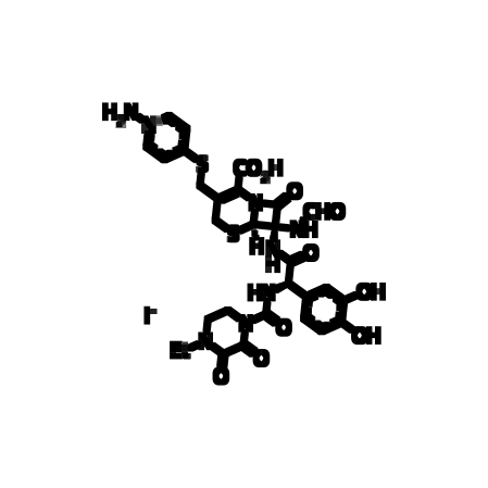 CCN1CCN(C(=O)N[C@@H](C(=O)N[C@]2(NC=O)C(=O)N3C(C(=O)O)=C(CSc4cc[n+](N)cc4)CS[C@@H]32)c2ccc(O)c(O)c2)C(=O)C1=O.[I-]